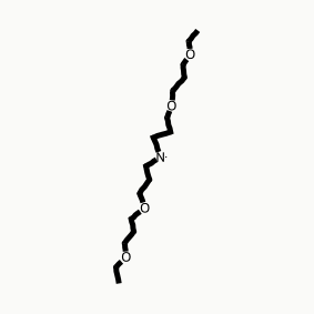 CCOCCCOCCC[N]CCCOCCCOCC